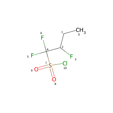 CCC(F)C(F)(F)S(=O)(=O)Cl